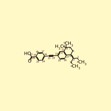 CCC(CC)=C1CCC(C)(C)c2cc(C#Cc3ccc(C(=O)O)cc3)ccc21